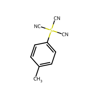 Cc1ccc(S(C#N)(C#N)C#N)cc1